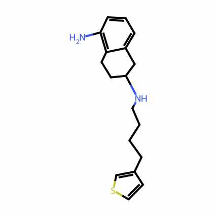 Nc1cccc2c1CCC(NCCCCc1ccsc1)C2